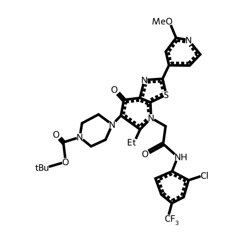 CCc1c(N2CCN(C(=O)OC(C)(C)C)CC2)c(=O)c2nc(-c3ccnc(OC)c3)sc2n1CC(=O)Nc1ccc(C(F)(F)F)cc1Cl